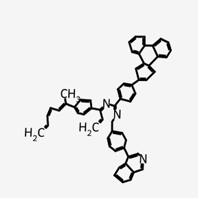 C=C/C=C\C=C(/C)c1ccc(/C(C=C)=N/C(=N\CC2=CCC(c3cncc4ccccc34)=CC=C2)c2ccc(-c3ccc4c5ccccc5c5ccccc5c4c3)cc2)cc1